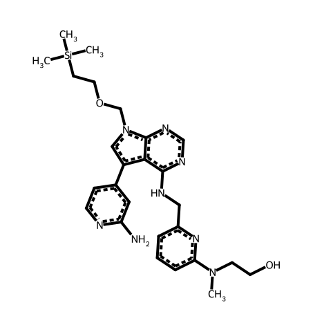 CN(CCO)c1cccc(CNc2ncnc3c2c(-c2ccnc(N)c2)cn3COCC[Si](C)(C)C)n1